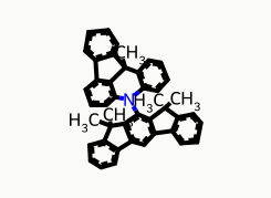 CC1(C)c2ccccc2-c2cc3c(c(N4c5ccccc5C5(C)c6ccccc6-c6cccc4c65)c21)C(C)(C)c1ccccc1-3